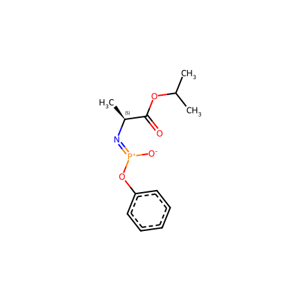 CC(C)OC(=O)[C@H](C)N=[P+]([O-])Oc1ccccc1